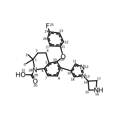 CC1(C)CCc2c(ccc(-c3cnn(C4CNC4)c3)c2Oc2ccc(F)cc2)N1C(=O)O